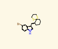 Brc1ccc2[nH]cc(/C=C3\CCCCC34SCCCS4)c2c1